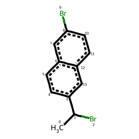 CC(Br)c1ccc2cc(Br)ccc2c1